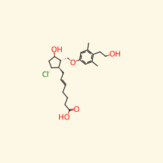 Cc1cc(OC[C@@H]2[C@@H](CC=CCCCC(=O)O)[C@H](Cl)C[C@H]2O)cc(C)c1CCO